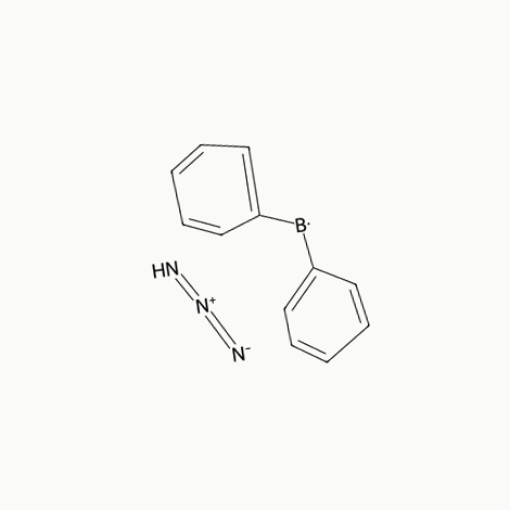 [B](c1ccccc1)c1ccccc1.[N-]=[N+]=N